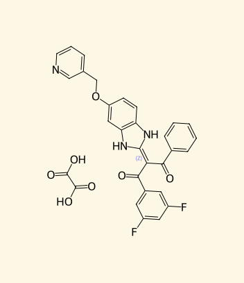 O=C(/C(C(=O)c1cc(F)cc(F)c1)=C1\Nc2ccc(OCc3cccnc3)cc2N1)c1ccccc1.O=C(O)C(=O)O